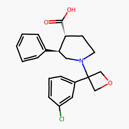 O=C(O)[C@@H]1CCN(C2(c3cccc(Cl)c3)COC2)C[C@H]1c1ccccc1